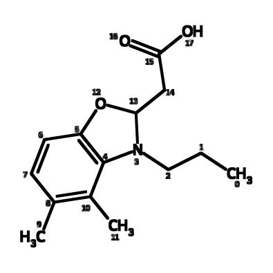 CCCN1c2c(ccc(C)c2C)OC1CC(=O)O